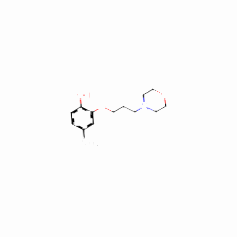 Cc1ccc(O)c(OCCCN2CCOCC2)c1